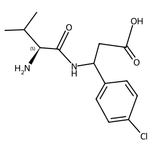 CC(C)[C@H](N)C(=O)NC(CC(=O)O)c1ccc(Cl)cc1